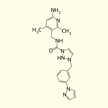 Cc1cc(N)nc(C)c1CNC(=O)N1C=CN(Cc2cccc(-n3cccn3)c2)N1